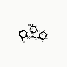 Cl.Oc1ccccc1OC(Cc1ccccc1)C1=NCCN1